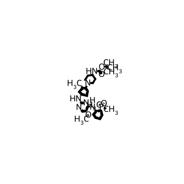 COc1cnc(Nc2ccc(N3CCC(NC(=O)OC(C)(C)C)CC3)c(C)c2)nc1Nc1ccccc1P(C)(C)=O